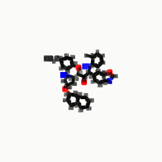 Cc1ccccc1NC(C(=O)C(Oc1ccc(C(=O)O)cc1)[C@@H]1C[C@H](Oc2ccc3ccccc3c2)CN1)c1ccc2ncoc2c1